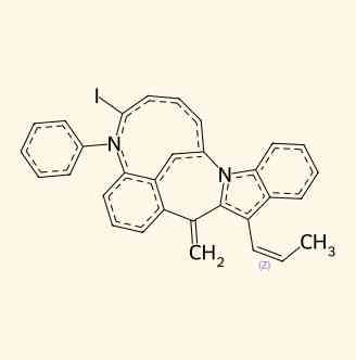 C=C1c2cccc3c2cc(cccc(I)n3-c2ccccc2)-n2c1c(/C=C\C)c1ccccc12